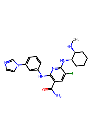 CN[C@H]1CCCC[C@H]1Nc1nc(Nc2cccc(-n3ccnc3)c2)c(C(N)=O)cc1F